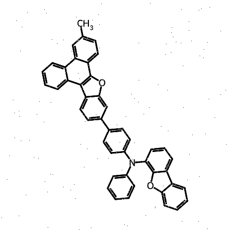 Cc1ccc2c(c1)c1ccccc1c1c3ccc(-c4ccc(N(c5ccccc5)c5cccc6c5oc5ccccc56)cc4)cc3oc21